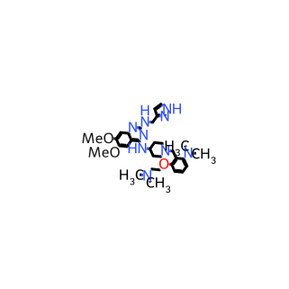 COc1cc2nc(NCc3cc[nH]n3)nc(NC3CCN(Cc4c(OCCN(C)C)cccc4N(C)C)CC3)c2cc1OC